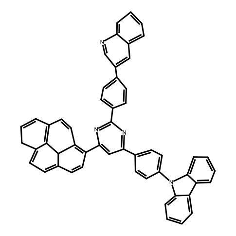 C1=CC2=C3C(=CC=C4C=CC(c5cc(-c6ccc(-n7c8ccccc8c8ccccc87)cc6)nc(-c6ccc(-c7cnc8ccccc8c7)cc6)n5)=C(C=C2)C43)C1